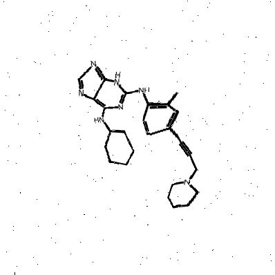 Cc1cc(C#CCN2CCCCC2)ccc1Nc1nc(NC2CCCCC2)c2ncnc-2[nH]1